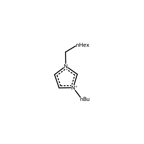 CCCCCCCn1cc[n+](CCCC)c1